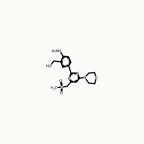 CC(=O)Nc1ccc(-c2nc(CS(C)(=O)=O)cc(N3CCOCC3)n2)cc1CO